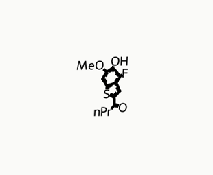 CCCC(=O)c1cc2c(F)c(O)c(OC)cc2s1